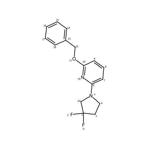 FC1(F)CCN(c2cccc(OCc3ccccc3)n2)C1